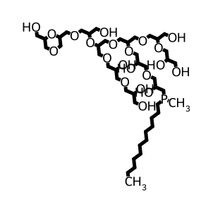 CCCCCCCCCCCCP(C)CC(O)COCC(O)COC(COCC(CO)OCC(O)CO)COCC(COCC(O)COCC(O)CO)OC(CO)COCC1COCC(CO)O1